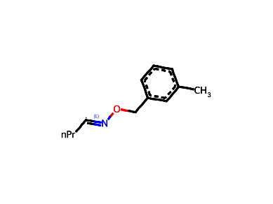 CCC/[C]=N/OCc1cccc(C)c1